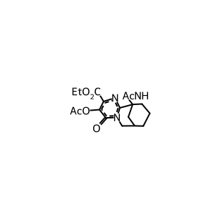 CCOC(=O)c1nc2n(c(=O)c1OC(C)=O)CC1CCCC2(NC(C)=O)C1